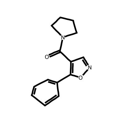 O=C(c1cnoc1-c1ccccc1)N1CCCC1